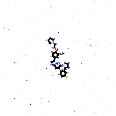 N#Cc1cc(-c2cnc3ccc(N4CCCC4c4cccc(F)c4)nn23)ccc1OCCN1CCCC1